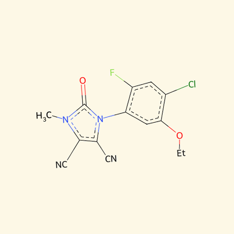 CCOc1cc(-n2c(C#N)c(C#N)n(C)c2=O)c(F)cc1Cl